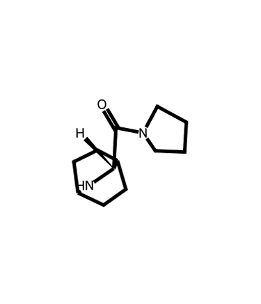 O=C([C@H]1NC2CCC1CC2)N1CCCC1